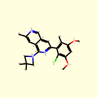 COc1cc(OC)c(Cl)c(-c2cc3cnc(C)cc3c(N3CC(C)(C)C3)n2)c1C